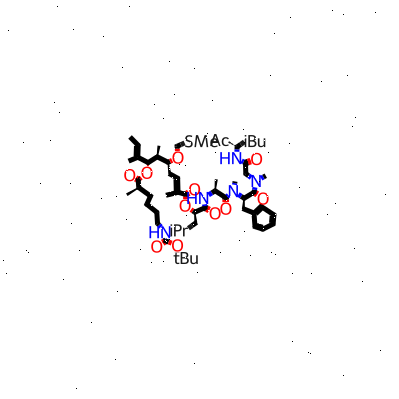 C/C=C(\C)[C@@H](OC(=O)[C@H](C)CCCCNC(=O)OC(C)(C)C)[C@@H](C)[C@H](C/C=C(\C)C(=O)O[C@H](CC(C)C)C(=O)N[C@@H](C)C(=O)N(C)[C@H](Cc1ccccc1)C(=O)N(C)CC(=O)N[C@H](C(C)=O)C(C)CC)OCSC